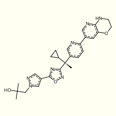 CC(C)(O)Cn1cc(-c2nc([C@@](C)(c3ccc(-c4cnc5c(c4)OCCN5)nc3)C3CC3)no2)cn1